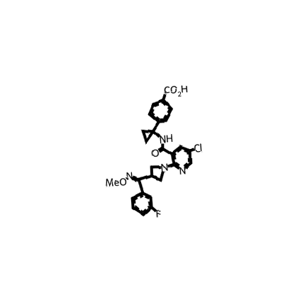 CO/N=C(\c1cccc(F)c1)C1CN(c2ncc(Cl)cc2C(=O)NC2(c3ccc(C(=O)O)cc3)CC2)C1